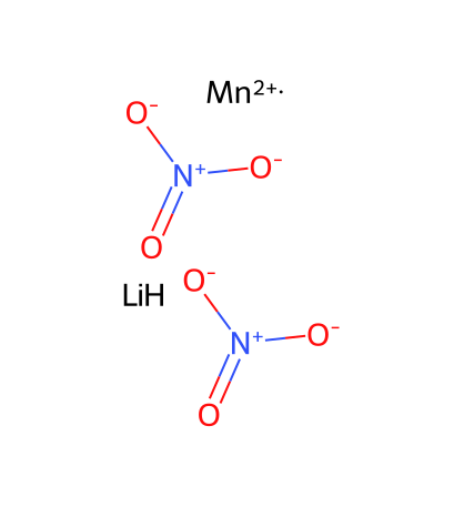 O=[N+]([O-])[O-].O=[N+]([O-])[O-].[LiH].[Mn+2]